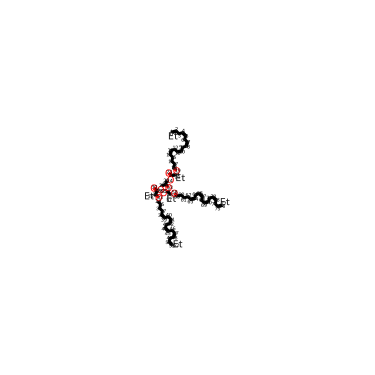 CC/C=C\C/C=C\C/C=C\C/C=C\C/C=C\CCCCOC(CC)C(=O)OCC(COC(=O)C(CC)OCCCC/C=C\C/C=C\C/C=C\C/C=C\C/C=C\CC)OC(=O)C(CC)OCCCC/C=C\C/C=C\C/C=C\C/C=C\C/C=C\CC